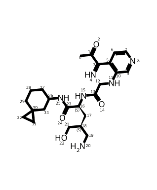 CC(=O)C(=N)c1ccncc1NCC(=O)N[C@@H](C[C@@H](CN)CO)C(=O)NC1CCCC2(CC2)C1